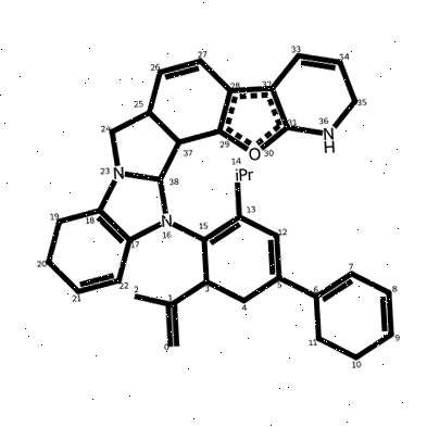 C=C(C)C1CC(C2=CC=CCC2)=CC(C(C)C)=C1N1C2=C(CCC=C2)N2CC3C=Cc4c(oc5c4C=CCN5)C3C21